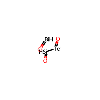 O=[SiH][Te+]=O.[O]=[BiH]